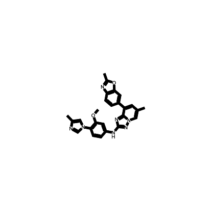 COc1cc(Nc2nc3c(-c4ccc5nc(C)oc5c4)cc(C)cn3n2)ccc1-n1cnc(C)c1